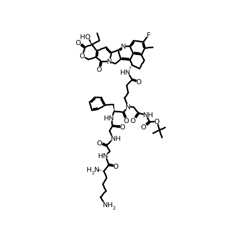 CC[C@@]1(O)C(=O)OCc2c1cc1n(c2=O)Cc2c-1nc1cc(F)c(C)c3c1c2[C@@H](NC(=O)CCCN(CC(=O)NC(=O)OC(C)(C)C)C(=O)[C@H](Cc1ccccc1)NC(=O)CNC(=O)CNC(=O)[C@@H](N)CCCCN)CC3